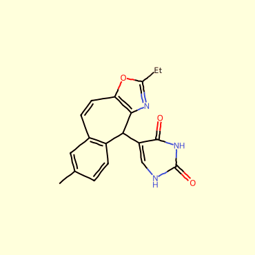 CCc1nc2c(o1)C=Cc1cc(C)ccc1C2c1c[nH]c(=O)[nH]c1=O